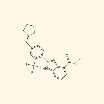 COC(=O)c1cccc2[nH]c(-c3ccc(CN4CCCC4)cc3C(F)(F)F)nc12